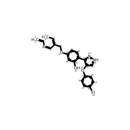 C=C/N=C\C(=C/C)COc1ccc(-c2n[nH]cc2Oc2ccc(CC)cc2)c(O)c1